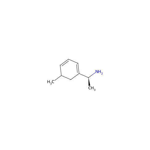 CC1C=CC=C([C@H](C)N)C1